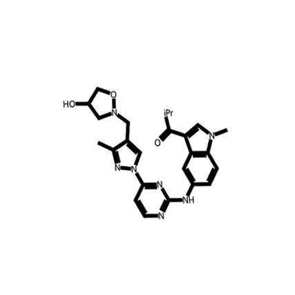 Cc1nn(-c2ccnc(Nc3ccc4c(c3)c(C(=O)C(C)C)cn4C)n2)cc1CN1CC(O)CO1